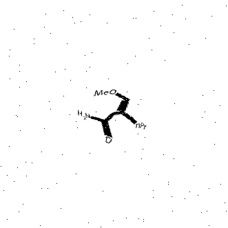 CCCC(=COC)C(N)=O